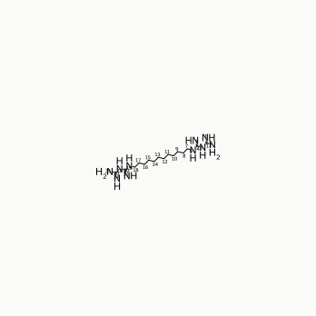 N=C(N)NC(=N)NCCCCCCCCCCCCNC(=N)NC(=N)N